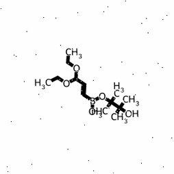 CCOC(C=CB(O)OC(C)(C)C(C)(C)O)OCC